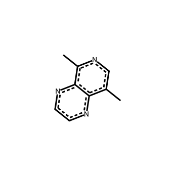 Cc1cnc(C)c2nccnc12